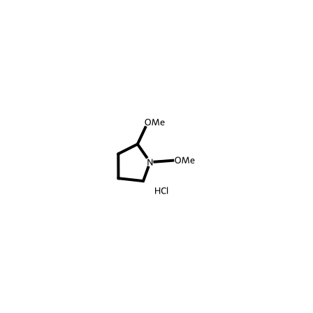 COC1CCCN1OC.Cl